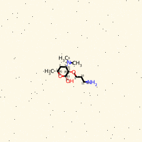 C[C@@H]1C[C@H](N(C)C)[C@@H](OCCCN)[C@H](O)O1